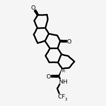 O=C1CCC2C(CCC3C2CC(=O)C2C3CCC3C2CCC[C@H]3C(=O)NCC(F)(F)F)C1